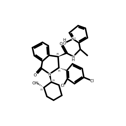 CC(NC(=O)[C@@H]1c2ccccc2C(=O)N([C@H]2CCCC[C@@H]2N=O)[C@H]1c1ccc(Cl)cc1Cl)c1cccc[n+]1O